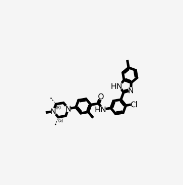 Cc1ccc2nc(-c3cc(NC(=O)c4ccc(N5C[C@@H](C)N(C)[C@@H](C)C5)cc4C)ccc3Cl)[nH]c2c1